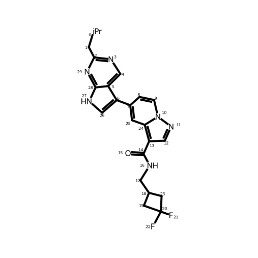 CC(C)Cc1ncc2c(-c3ccn4ncc(C(=O)NCC5CC(F)(F)C5)c4c3)c[nH]c2n1